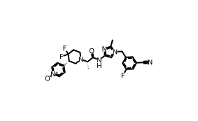 Cc1nc(NC(=O)[C@H](C)N2CCC(F)(F)[C@@H](c3cc[n+]([O-])cc3)C2)cn1Cc1cc(F)cc(C#N)c1